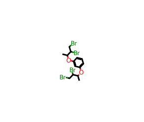 CC(Oc1cccc(OC(C)C(Br)CBr)c1)C(Br)CBr